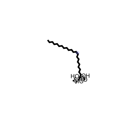 CCCCCCCCCCCC/C=C\CCCCCCCCC(O)(C[N+](C)(C)C)P(=O)(O)O